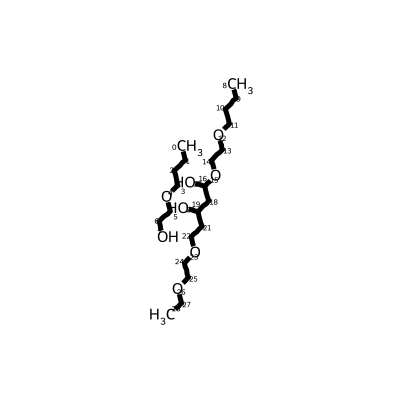 CCCCOCCO.CCCCOCCOC(O)CC(O)CCOCCOCC